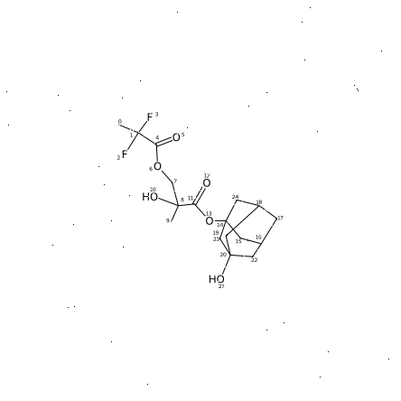 CC(F)(F)C(=O)OCC(C)(O)C(=O)OC12CC3CC(CC(O)(C3)C1)C2